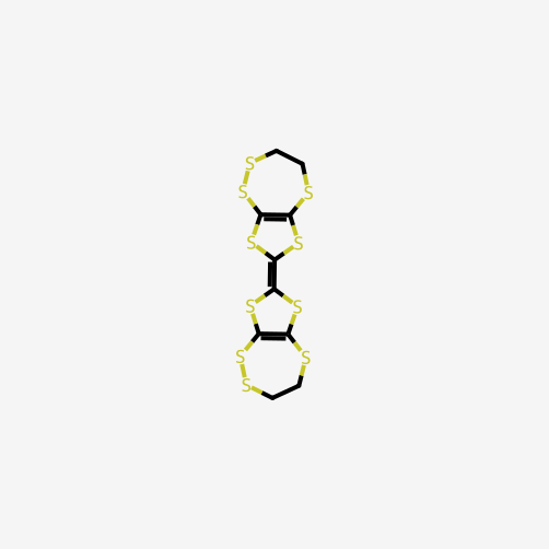 C1CSC2=C(SS1)SC(=C1SC3=C(SSCCS3)S1)S2